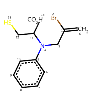 C=C(Br)CN(c1ccccc1)C(CS)C(=O)O